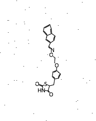 O=C1NC(=O)C(Cc2ccc(OCCO/N=C/c3ccc4ccccc4c3)cc2)S1